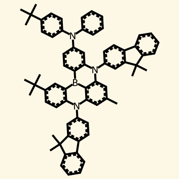 Cc1cc2c3c(c1)N(c1ccc4c(c1)C(C)(C)c1ccccc1-4)c1cc(N(c4ccccc4)c4ccc(C(C)(C)C)cc4)ccc1B3c1cc(C(C)(C)C)ccc1N2c1ccc2c(c1)C(C)(C)c1ccccc1-2